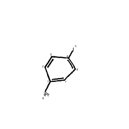 CC(C)c1[c]cc(I)cc1